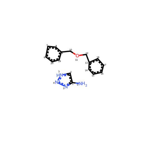 Nc1c[nH]nn1.c1ccc(COCc2ccccc2)cc1